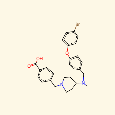 CN(Cc1ccc(Oc2ccc(Br)cc2)cc1)C1CCN(Cc2ccc(C(=O)O)cc2)CC1